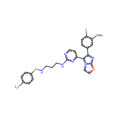 COc1cc(-c2nc3occn3c2-c2ccnc(NCCCNSc3ccc(C(F)(F)F)cc3)n2)ccc1F